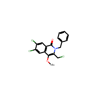 CCCCOc1c(CCl)n(Cc2ccccc2)c(=O)c2cc(Cl)c(Cl)cc12